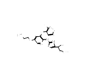 Cc1nnccc1Oc1cc(SCCO)cnc1Nc1nc(C(O)CO)cs1